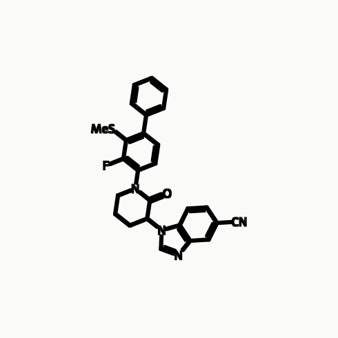 CSc1c(-c2ccccc2)ccc(N2CCCC(n3cnc4cc(C#N)ccc43)C2=O)c1F